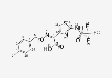 Cc1ccc(CO/N=C(\C(=O)O)c2csc(NC(=O)C(F)(F)F)n2)cc1